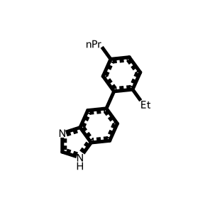 CCCc1ccc(CC)c(-c2ccc3[nH]cnc3c2)c1